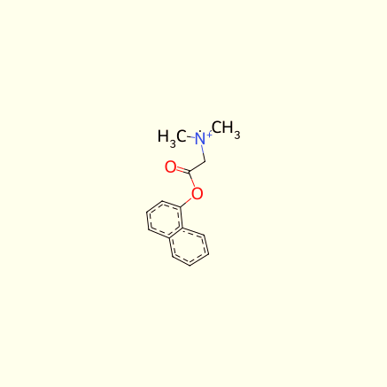 C[N+](C)CC(=O)Oc1cccc2ccccc12